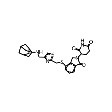 O=C1CCC(N2Cc3c(SCc4nc(CNC56CC7CC(CC5C7)C6)cs4)cccc3C2=O)C(=O)N1